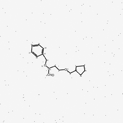 O=CN(CCOCC1CCCC1)OCc1ccccc1